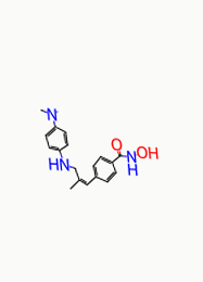 CC(=Cc1ccc(C(=O)NO)cc1)CNc1ccc(N(C)C)cc1